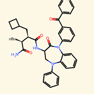 CCCC[C@H](C(N)=O)[C@@H](CC1CCC1)C(=O)NC1CN(c2ccccc2)c2ccccc2N(c2cccc(C(=O)c3ccccc3)c2)C1=O